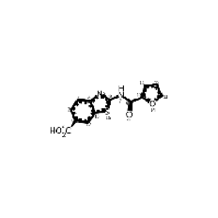 O=C(O)c1ccc2nc(NC(=O)c3ccco3)sc2c1